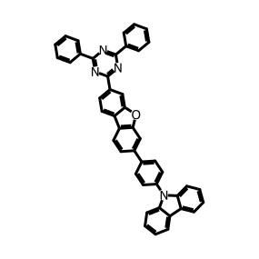 c1ccc(-c2nc(-c3ccccc3)nc(-c3ccc4c(c3)oc3cc(-c5ccc(-n6c7ccccc7c7ccccc76)cc5)ccc34)n2)cc1